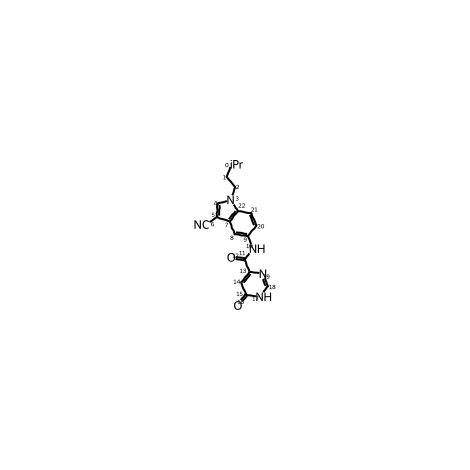 CC(C)CCn1cc(C#N)c2cc(NC(=O)c3cc(=O)[nH]cn3)ccc21